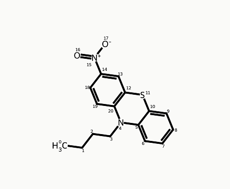 CCCCN1c2ccccc2Sc2cc([N+](=O)[O-])ccc21